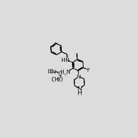 CC(C)(C)OC=O.Cc1cc(F)c(N2CCNCC2)c(N)c1NCc1ccccc1